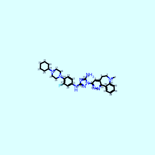 CN1CCc2cc(-n3nc(Nc4ccc(N5CCN(C6CCCCC6)CC5)c(F)c4)nc3N)nnc2-c2ccccc21